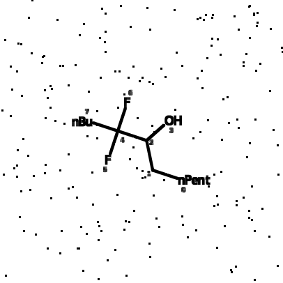 CCCCCCC(O)C(F)(F)CCCC